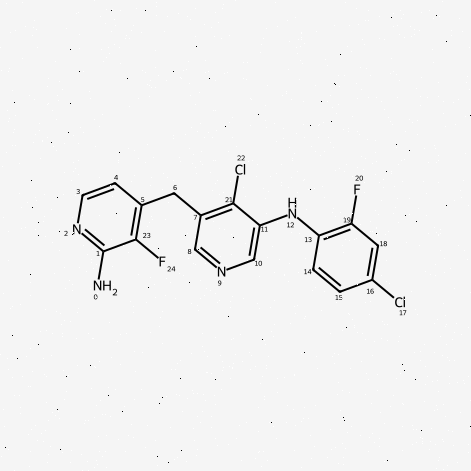 Nc1nccc(Cc2cncc(Nc3ccc(Cl)cc3F)c2Cl)c1F